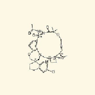 CO[C@@H]1C=CCOC(C)(C)C(=O)N=[S@](=O)(NC(C)=O)c2ccc3c(c2)N(C[C@@H]2CC[C@H]21)C[C@@]1(CCCc2cc(Cl)ccc21)CO3